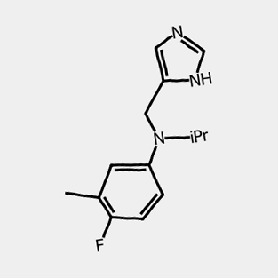 Cc1cc(N(Cc2cnc[nH]2)C(C)C)ccc1F